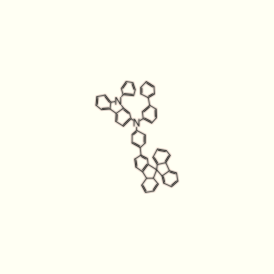 C1=CC2c3ccc(-c4ccc(N(c5cccc(-c6ccccc6)c5)c5ccc6c7ccccc7n(-c7ccccc7)c6c5)cc4)cc3C3(c4ccccc4-c4ccccc43)C2C=C1